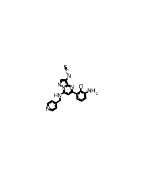 Nc1cccc(-c2cc(NCc3ccncc3)n3ncc(N=C=S)c3n2)c1Cl